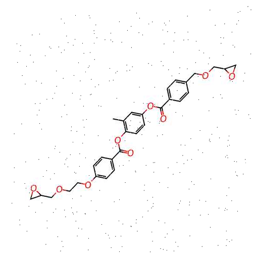 Cc1cc(OC(=O)c2ccc(COCC3CO3)cc2)ccc1OC(=O)c1ccc(OCCOCC2CO2)cc1